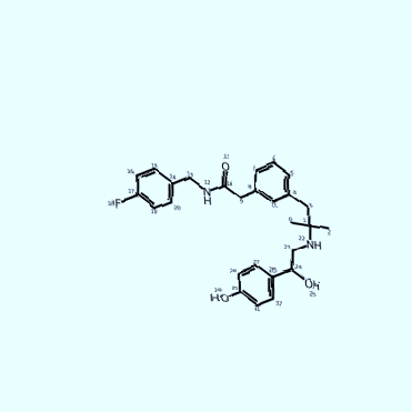 CC(C)(Cc1cccc(CC(=O)NCc2ccc(F)cc2)c1)NCC(O)c1ccc(O)cc1